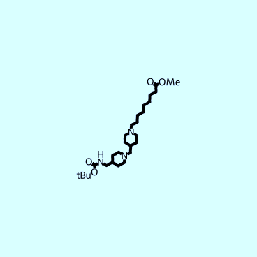 COC(=O)CCCCCCCCN1CCC(CN2CCC(CNC(=O)OC(C)(C)C)CC2)CC1